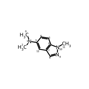 CN(C)c1ccc2c(cnn2C)c1